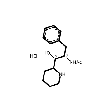 CC(=O)N[C@@H](Cc1ccccc1)[C@@H](O)C1CCCCN1.Cl